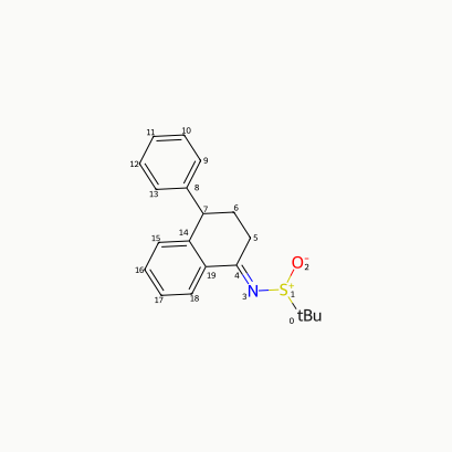 CC(C)(C)[S+]([O-])N=C1CCC(c2ccccc2)c2ccccc21